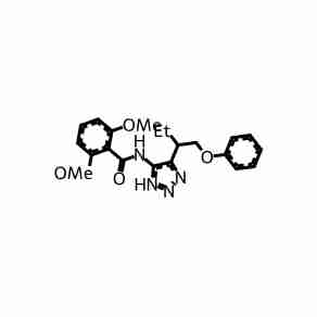 CCC(COc1ccccc1)c1nn[nH]c1NC(=O)c1c(OC)cccc1OC